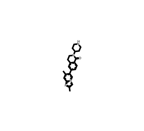 Cc1cn2cc(-c3ccc4c(c3)CCN(C3CCNCC3)C4=O)c(C)cc2n1